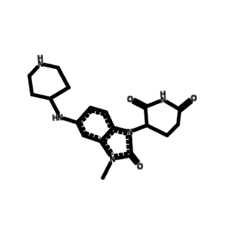 Cn1c(=O)n(C2CCC(=O)NC2=O)c2ccc(NC3CCNCC3)cc21